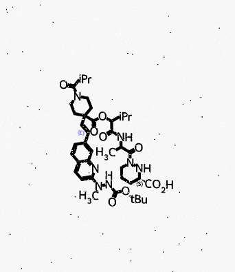 CC(C)C(=O)N1CCC(/C=C/c2ccc3ccc(N(C)NC(=O)OC(C)(C)C)nc3c2)(C(=O)OC(C(=O)NC(C)C(=O)N2CCC[C@@H](C(=O)O)N2)C(C)C)CC1